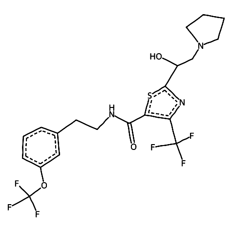 O=C(NCCc1cccc(OC(F)(F)F)c1)c1sc(C(O)CN2CCCC2)nc1C(F)(F)F